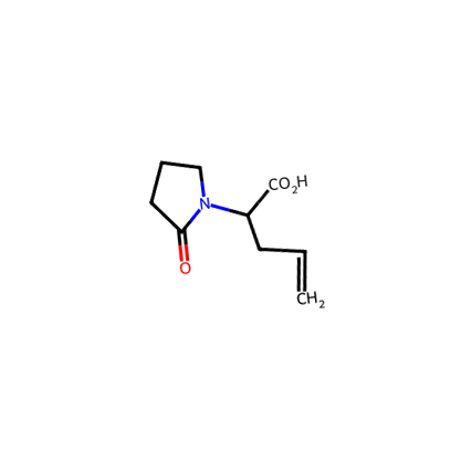 C=CCC(C(=O)O)N1CCCC1=O